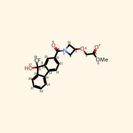 COC(=O)COC1CN(C(=O)c2ccc3c(c2)C(O)(C(F)(F)F)c2ccccc2-3)C1